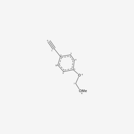 C#Cc1ccc(OCOC)cc1